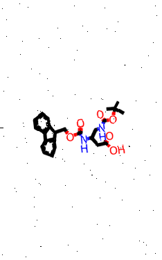 CC(C)(C)OC(=O)NCC(CC(=O)O)NC(=O)OCC1c2ccccc2-c2ccccc21